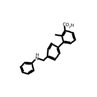 Cc1c(C(=O)O)cccc1-c1ccc(CNc2ccccc2)cc1